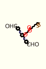 O=Cc1ccc(/C=C/c2ccc(/C=C/c3ccc(C=O)cc3)c(OCCCOC(=O)CCCCC3CCSS3)c2)cc1